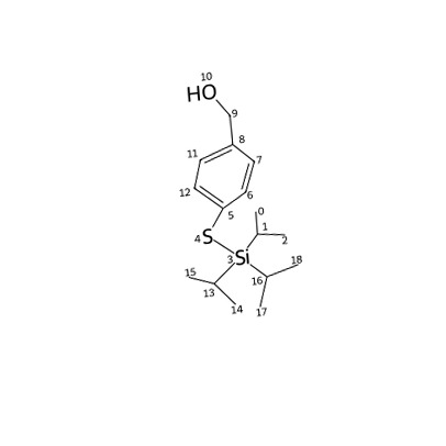 CC(C)[Si](Sc1ccc(CO)cc1)(C(C)C)C(C)C